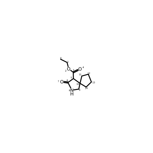 CCOC(=O)C1C(=O)NCC12CCCC2